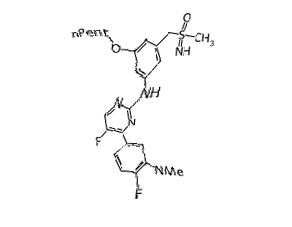 CCCCCOc1cc(CS(C)(=N)=O)cc(Nc2ncc(F)c(-c3ccc(F)c(NC)c3)n2)c1